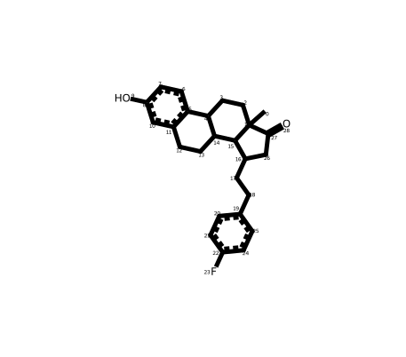 CC12CCC3c4ccc(O)cc4CCC3C1C(CCc1ccc(F)cc1)CC2=O